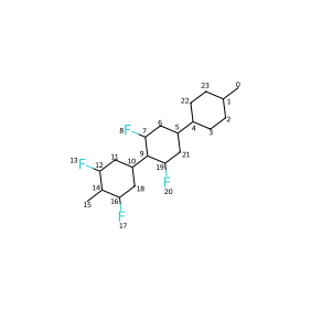 CC1CCC(C2CC(F)C(C3CC(F)C(C)C(F)C3)C(F)C2)CC1